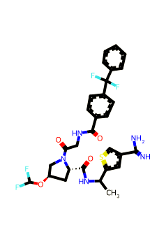 CC(NC(=O)[C@@H]1C[C@@H](OC(F)F)CN1C(=O)CNC(=O)c1ccc(C(F)(F)c2ccccc2)cc1)c1cc(C(=N)N)cs1